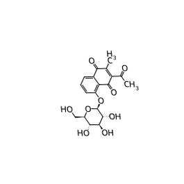 CC(=O)C1=C(C)C(=O)c2cccc(O[C@@H]3O[C@H](CO)[C@@H](O)[C@H](O)[C@H]3O)c2C1=O